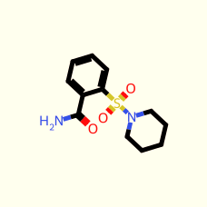 NC(=O)c1ccccc1S(=O)(=O)N1CCCCC1